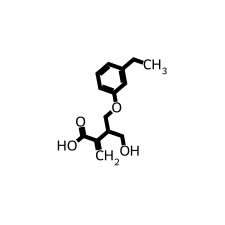 C=C(C(=O)O)C(CO)COc1cccc(CC)c1